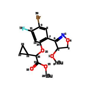 CCCCOC1CON=C1c1cc(Br)c(F)cc1OC(C(=O)OC(C)(C)C)C1CC1